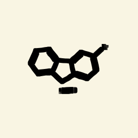 Brc1ccc2c(c1)-c1ccccc1C2.O=S